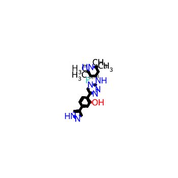 CC1(C)C[C@H](Nc2ncc(-c3ccc(-c4cn[nH]c4)cc3O)nn2)[C@H](F)C(C)(C)N1